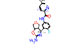 C=C(C#N)/C=C\C(=N/C)C(=O)Nc1ccc(F)c([C@@]2(C)N=C(N)OC3COCC32)c1